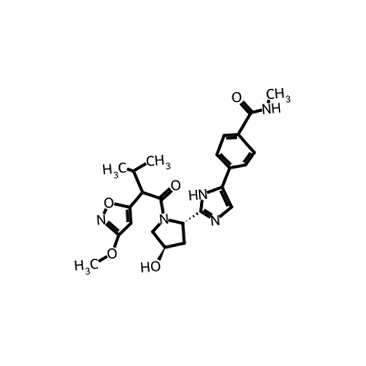 CNC(=O)c1ccc(-c2cnc([C@@H]3C[C@@H](O)CN3C(=O)C(c3cc(OC)no3)C(C)C)[nH]2)cc1